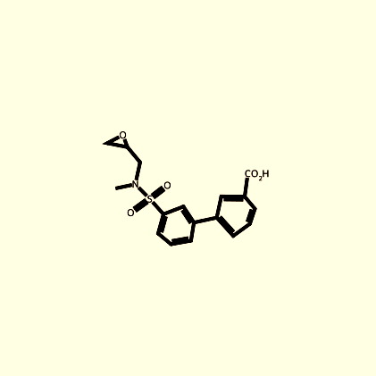 CN(CC1CO1)S(=O)(=O)c1cccc(-c2cccc(C(=O)O)c2)c1